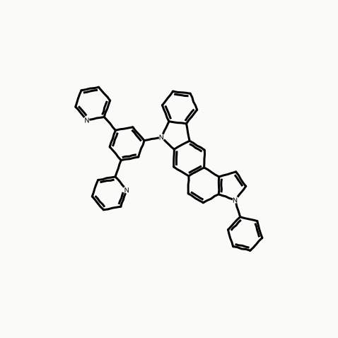 c1ccc(-n2ccc3c4cc5c6ccccc6n(-c6cc(-c7ccccn7)cc(-c7ccccn7)c6)c5cc4ccc32)cc1